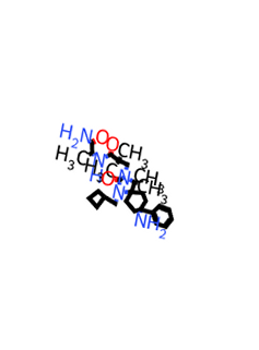 CC(NC(=O)C(C)(C)CN1C(=O)N(CC2CCC2)C2(CCC(N)(c3ccccc3)CC2)C1(C)C)C(N)=O